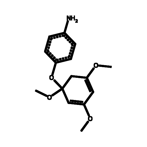 COC1=CC(OC)(Oc2ccc(N)cc2)CC(OC)=C1